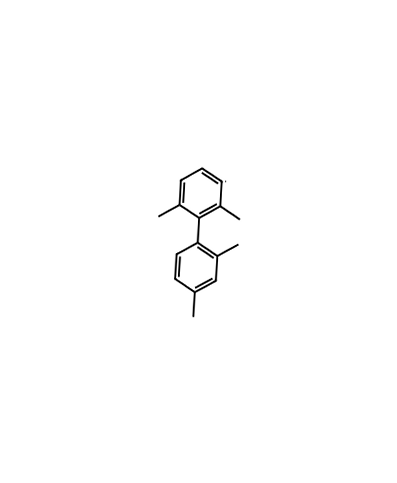 Cc1ccc(-c2c(C)[c]ccc2C)c(C)c1